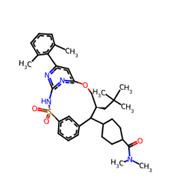 Cc1cccc(C)c1-c1cc2nc(n1)NS(=O)(=O)c1cccc(c1)C(C1CCC(C(=O)N(C)C)CC1)[C@H](CC(C)(C)C)CO2